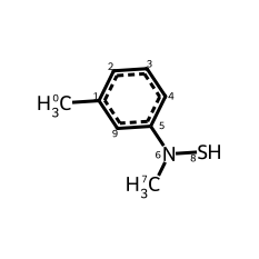 Cc1cccc(N(C)S)c1